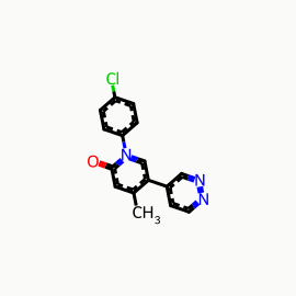 Cc1cc(=O)n(-c2ccc(Cl)cc2)cc1-c1ccnnc1